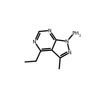 CCc1ncnc2c1c(C)nn2P